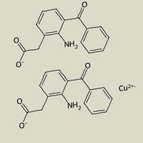 Nc1c(CC(=O)[O-])cccc1C(=O)c1ccccc1.Nc1c(CC(=O)[O-])cccc1C(=O)c1ccccc1.[Cu+2]